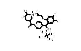 C=CCOc1cc(Cl)c(Cl)cc1C(N[S@@+]([O-])C(C)(C)C)C1CCN(C(=O)C2CNC(=O)NC2)CC1